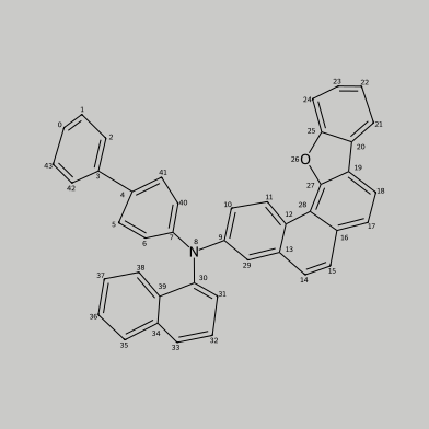 c1ccc(-c2ccc(N(c3ccc4c(ccc5ccc6c7ccccc7oc6c54)c3)c3cccc4ccccc34)cc2)cc1